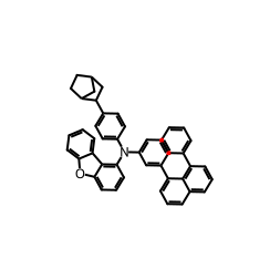 c1ccc(-c2cccc3cccc(-c4cccc(N(c5ccc(C6CC7CCC6C7)cc5)c5cccc6oc7ccccc7c56)c4)c23)cc1